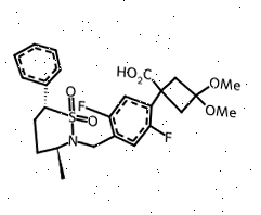 COC1(OC)CC(C(=O)O)(c2cc(F)c(CN3[C@@H](C)CC[C@H](c4ccccc4)S3(=O)=O)cc2F)C1